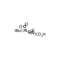 CC(C)(C)C1CCC(N(Cc2ccc(C(=O)NCCC(=O)O)cc2)Cc2cc(Cl)cc(Cl)c2)CC1